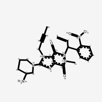 C=CC(c1ccccc1[N+](=O)[O-])n1c(=O)c2c(nc(N3CCCC(N)C3)n2CC#CC)c(=O)n1C